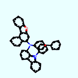 c1ccc(-c2ccc(N(c3cc4oc5ccccc5c4c4ccccc34)c3cccc4c5ccccc5n(-c5ccccc5)c34)cc2)cc1